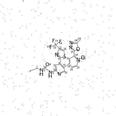 CCNC(=O)Nc1cc(-c2nc(C(F)(F)F)cs2)c(-c2cc[n+]([O-])c(-c3nnc(C)o3)c2)cn1